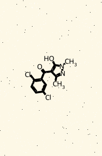 Cc1nn(C)c(O)c1C(=O)c1cc(Cl)ccc1Cl